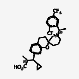 C[C@H](C(=O)O)C(c1ccc2c(c1)OC1(CCCN([C@H](C)c3cc(C(F)(F)F)ccc3C(F)(F)F)C1)CC2)C1CC1